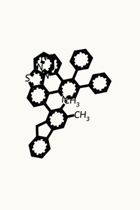 Cc1cc2c(c(-c3ccc4sc5ccccc5c4c3-c3ncc(-c4ccccc4)c(-c4ccccc4)c3-c3ccnnn3)c1C)Cc1ccccc1-2